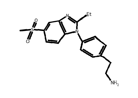 CCc1nc2cc(S(C)(=O)=O)ccc2n1-c1ccc(CCN)cc1